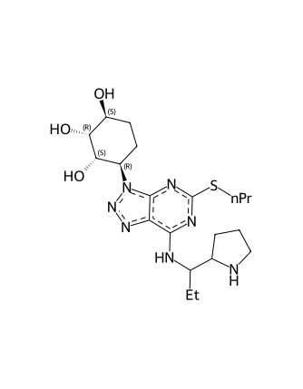 CCCSc1nc(NC(CC)C2CCCN2)c2nnn([C@@H]3CC[C@H](O)[C@@H](O)[C@H]3O)c2n1